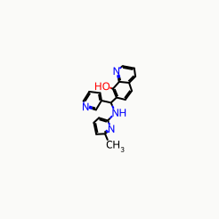 Cc1cccc(NC(c2cccnc2)c2ccc3cccnc3c2O)n1